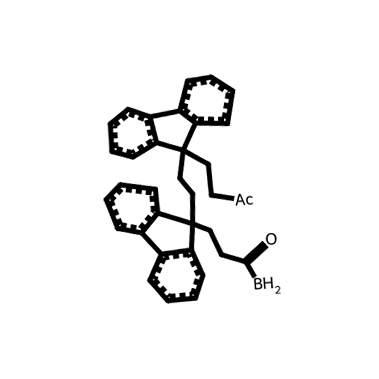 BC(=O)CCC1(CCC2(CCC(C)=O)c3ccccc3-c3ccccc32)c2ccccc2-c2ccccc21